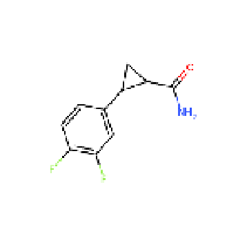 NC(=O)C1CC1c1ccc(F)c(F)c1